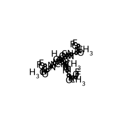 C[C@@H]1CN(c2ncc(-c3ccc4c(=O)n(C)n(Cc5ccccc5OC(F)F)c4c3)cn2)CCN1C(=O)COP(=O)(OCC(=O)N1CCN(c2ncc(-c3ccc4c(=O)n(C)n(Cc5ccccc5OC(F)F)c4c3)cn2)C[C@H]1C)OCC(=O)N1CCN(c2ncc(-c3ccc4c(=O)n(C)n(Cc5ccccc5OC(F)F)c4c3)cn2)C[C@H]1C